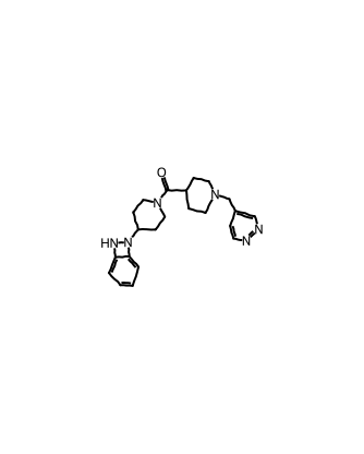 O=C(C1CCN(Cc2ccnnc2)CC1)N1CCC(n2[nH]c3ccccc32)CC1